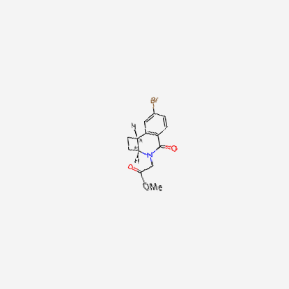 COC(=O)CN1C(=O)c2ccc(Br)cc2[C@H]2CC[C@H]21